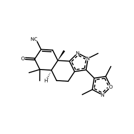 Cc1noc(C)c1-c1c2c(nn1C)[C@@]1(C)C=C(C#N)C(=O)C(C)(C)[C@@H]1CC2